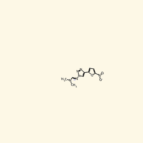 CN(C)/C=N/n1cc(-c2ccc([N+](=O)[O-])o2)nn1